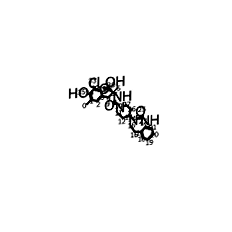 Cc1cc(C[C@@](C)(NC(=O)N2CCC(N3CCc4ccccc4NC3=O)CC2)C(=O)O)cc(Cl)c1O